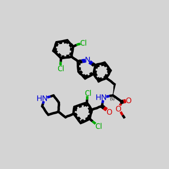 COC(=O)[C@H](Cc1ccc2nc(-c3c(Cl)cccc3Cl)ccc2c1)NC(=O)c1c(Cl)cc(CC2CCNCC2)cc1Cl